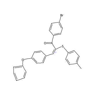 Cc1ccc(S/C(=C/c2ccc(Oc3ccccc3)cc2)C(=O)c2ccc(Br)cc2)cc1